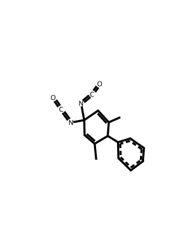 CC1=CC(N=C=O)(N=C=O)C=C(C)C1c1ccccc1